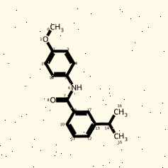 COc1ccc(NC(=O)c2cccc(C(C)C)c2)cc1